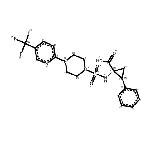 O=C(O)[C@@]1(NS(=O)(=O)N2CCN(c3ccc(C(F)(F)F)cn3)CC2)C[C@H]1c1ccccc1